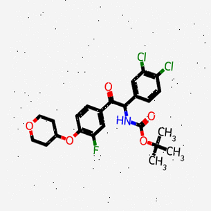 CC(C)(C)OC(=O)NC(C(=O)c1ccc(OC2CCOCC2)c(F)c1)c1ccc(Cl)c(Cl)c1